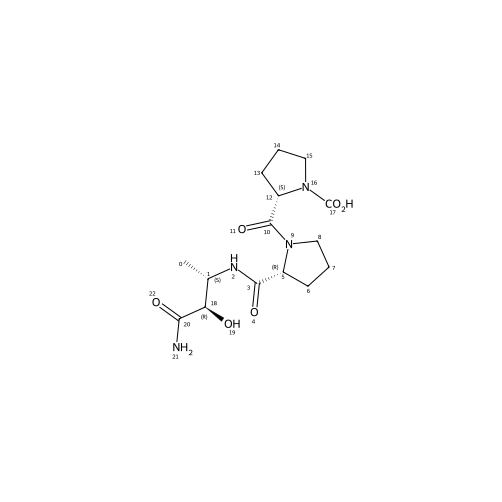 C[C@H](NC(=O)[C@H]1CCCN1C(=O)[C@@H]1CCCN1C(=O)O)[C@@H](O)C(N)=O